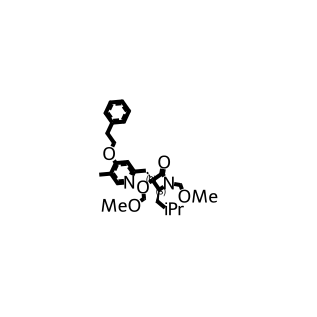 COCO[C@@]1(Cc2cc(OCCc3ccccc3)c(C)cn2)C(=O)N(COC)[C@H]1CC(C)C